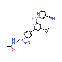 CC(=O)NCCn1cnc2cc(-c3cc(C4CC4)cc(Nc4cc(C#N)ccn4)n3)ccc21